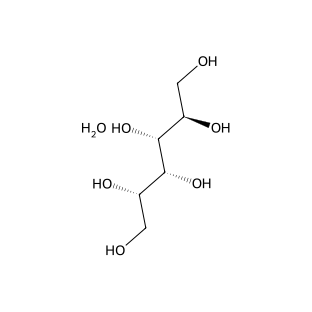 O.OC[C@@H](O)[C@@H](O)[C@H](O)[C@@H](O)CO